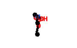 O=C(O)CN(Cc1ccccn1)C(=O)CCc1ccc(OCCCCCc2ccccc2)cc1